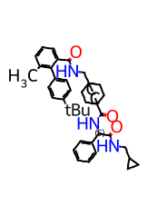 Cc1cccc(C(=O)NCC23CCC(C(=O)N[C@H](C(=O)NCC4CC4)c4ccccc4)(CC2)CC3)c1-c1ccc(C(C)(C)C)cc1